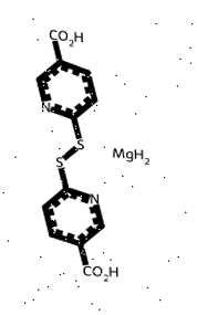 O=C(O)c1ccc(SSc2ccc(C(=O)O)cn2)nc1.[MgH2]